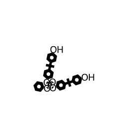 CC(C)(c1ccc(O)cc1)c1ccc(OP(=O)(Oc2ccccc2)Oc2ccc(C(C)(C)c3ccc(O)cc3)cc2)cc1